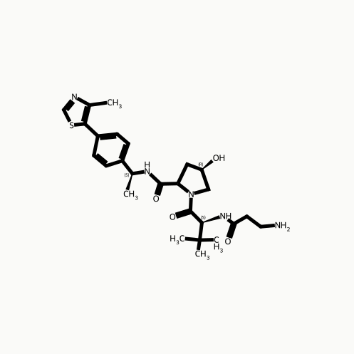 Cc1ncsc1-c1ccc([C@H](C)NC(=O)C2C[C@@H](O)CN2C(=O)[C@@H](NC(=O)CCN)C(C)(C)C)cc1